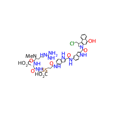 CN[C@@H](CCCNC(=N)N)C(=O)N[C@@H](CC(=O)O)C(=O)N[C@@H](CSSCCC(=O)Nc1ccc2[nH]c(C(=O)Nc3ccc4[nH]c(C(=O)N5CC(CCl)c6c5cc(O)c5ccccc65)cc4c3)cc2c1)C(=O)O